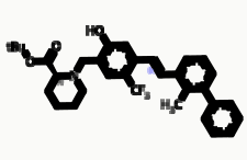 Cc1c(/C=C/c2cc(O)c(CN3CCCC[C@H]3C(=O)OC(C)(C)C)cc2C(F)(F)F)cccc1-c1ccccc1